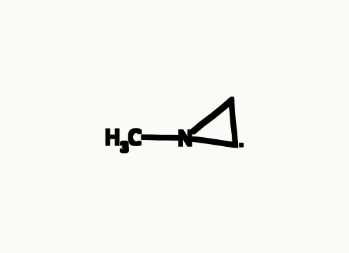 CN1[CH]C1